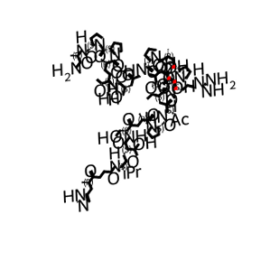 CC(=O)C[C@H](NC(=O)[C@@H]1CCCN1C(=O)[C@H](C)CC(=O)[C@H](CO)NC(=O)[C@@H](CC(=O)[C@@H](NC(=O)CCC(=O)[C@H](C)Cc1cnc[nH]1)C(C)C)C(C)O)C(=O)C[C@H](C(=O)N[C@@H](CCCNC(=N)N)C(=O)N1CCC[C@H]1C(=O)C[C@@H](C)C(=O)N1CCC[C@H]1C(=O)NCC(=O)C[C@@H](CO)C(=O)N[C@H](C(=O)C[C@@H](C)C(=O)N1CCC[C@H]1C(=O)N1CCC[C@H]1C(=O)N[C@H](C)C(N)=O)C(C)O)C(C)O[C@H]1O[C@@H](CO)[C@H](O)C(O)C1C